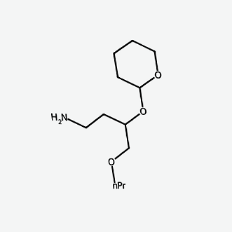 CCCOCC(CCN)OC1CCCCO1